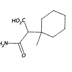 CC1(C(C(N)=O)C(=O)O)CCCCC1